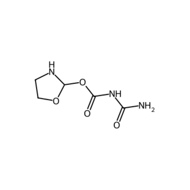 NC(=O)NC(=O)OC1NCCO1